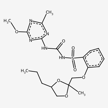 CCCC1COC(C)(COc2ccccc2S(=O)(=O)NC(=O)Nc2nc(C)nc(OC)n2)O1